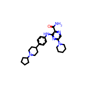 NC(=O)c1ncc(N2CCCCC2)nc1Nc1ccc(C2CCN(C3CCCC3)CC2)cc1